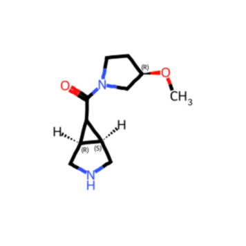 CO[C@@H]1CCN(C(=O)C2[C@H]3CNC[C@@H]23)C1